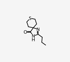 CCCC1=NC2(CCSCC2)C(=O)N1